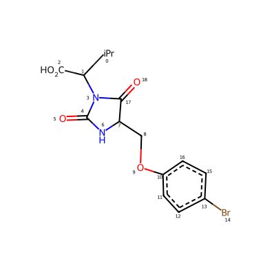 CC(C)C(C(=O)O)N1C(=O)NC(COc2ccc(Br)cc2)C1=O